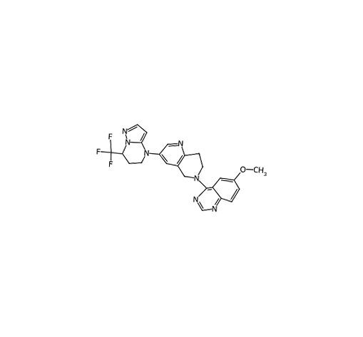 COc1ccc2ncnc(N3CCc4ncc(N5CCC(C(F)(F)F)n6nccc65)cc4C3)c2c1